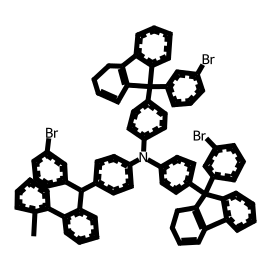 Cc1ccccc1-c1ccccc1C(c1ccc(N(c2ccc(C3(c4cccc(Br)c4)C4=C(CCC=C4)c4ccccc43)cc2)c2ccc(C3(c4cccc(Br)c4)C4=C(C=CCC4)c4ccccc43)cc2)cc1)c1cccc(Br)c1